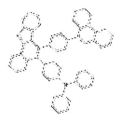 c1ccc(N(c2ccccc2)c2ccc(-c3c(-c4ccc(-c5cc6ccccc6c6ccccc56)cc4)c4c5ccccc5sc4c4ccccc34)cc2)cc1